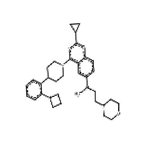 CN(CCN1CCOCC1)c1ccc2nc(C3CC3)nc(N3CCC(c4ccccc4N4CCC4)CC3)c2c1